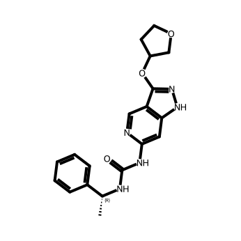 C[C@@H](NC(=O)Nc1cc2[nH]nc(OC3CCOC3)c2cn1)c1ccccc1